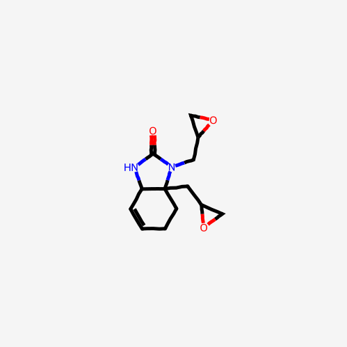 O=C1NC2C=CCCC2(CC2CO2)N1CC1CO1